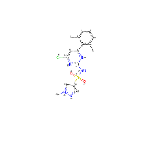 Cc1cccc(C)c1-c1cc(Cl)nc(NS(=O)(=O)c2cnn(C)c2)n1